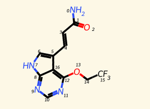 NC(=O)/C=C/c1c[nH]c2ncnc(OCC(F)(F)F)c12